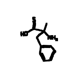 CC(N)(Cc1ccccc1)C(O)=S